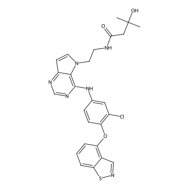 CC(C)(O)CC(=O)NCCn1ccc2ncnc(Nc3ccc(Oc4cccc5sncc45)c(Cl)c3)c21